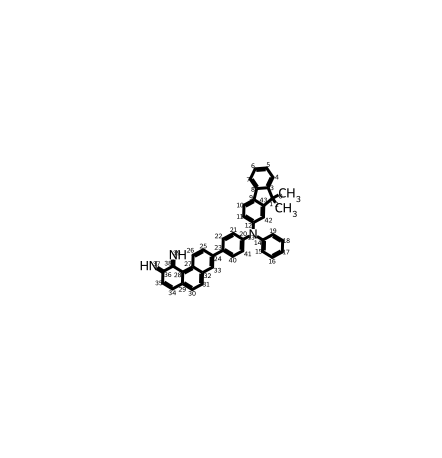 CC1(C)c2ccccc2-c2ccc(N(c3ccccc3)c3ccc(-c4ccc5c6c(ccc5c4)C=CC(=N)C6=N)cc3)cc21